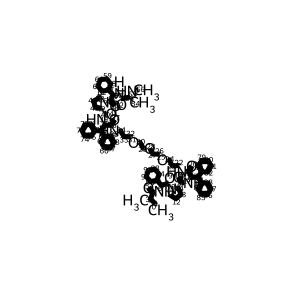 CC[C@@H](C)C(=O)N[C@H](C(=O)N1CCC[C@H]1C(=O)N[C@H](C(=O)NCCCOCCOCCOCCCNC(=O)[C@@H](NC(=O)[C@@H]1CCCN1C(=O)[C@@H](NC(=O)[C@@H](C)NC)C1CCCCC1)C(c1ccccc1)c1ccccc1)C(c1ccccc1)c1ccccc1)C1CCCCC1